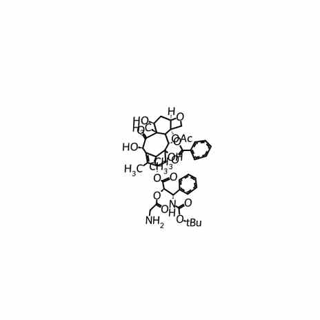 CC(=O)O[C@@]12CO[C@@H]1C[C@H](O)[C@@]1(C)C(=O)[C@H](O)C3=C(C)[C@@H](OC(=O)[C@H](OC(=O)CN)[C@@H](NC(=O)OC(C)(C)C)c4ccccc4)C[C@@](O)([C@@H](OC(=O)c4ccccc4)C12)C3(C)C